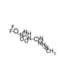 CN1CCN(c2cnc3ccc(CNC(=O)c4cncn(Cc5ccc(F)c(F)c5)c4=O)cc3n2)CC1